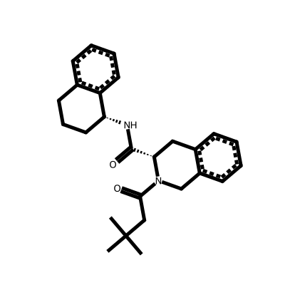 CC(C)(C)CC(=O)N1Cc2ccccc2C[C@H]1C(=O)N[C@@H]1CCCc2ccccc21